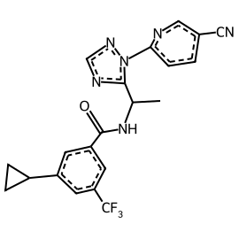 CC(NC(=O)c1cc(C2CC2)cc(C(F)(F)F)c1)c1ncnn1-c1ccc(C#N)cn1